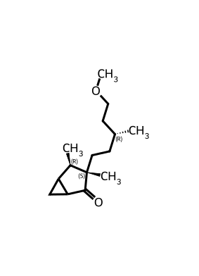 COCC[C@H](C)CC[C@]1(C)C(=O)C2CC2[C@H]1C